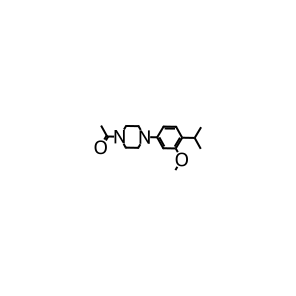 COc1cc(N2CCN(C(C)=O)CC2)ccc1C(C)C